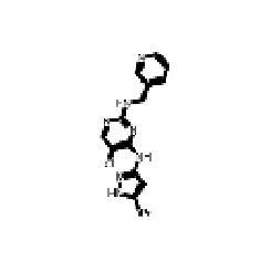 CC(C)c1cc(Nc2nc(NCc3cccnc3)ncc2Cl)n[nH]1